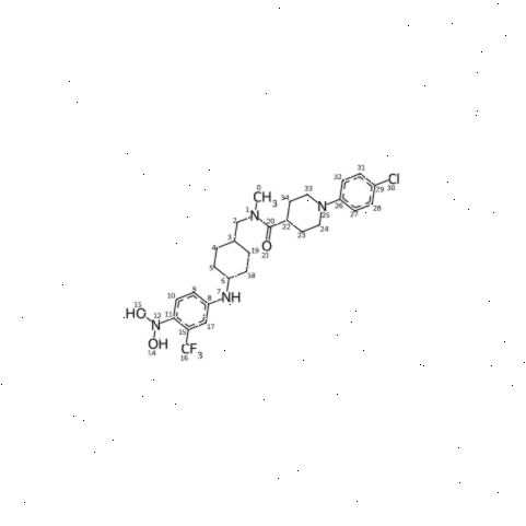 CN(CC1CCC(Nc2ccc(N(O)O)c(C(F)(F)F)c2)CC1)C(=O)C1CCN(c2ccc(Cl)cc2)CC1